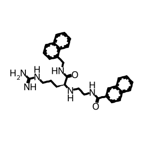 N=C(N)NCCC[C@H](NCCNC(=O)c1ccc2ccccc2c1)C(=O)NCc1cccc2ccccc12